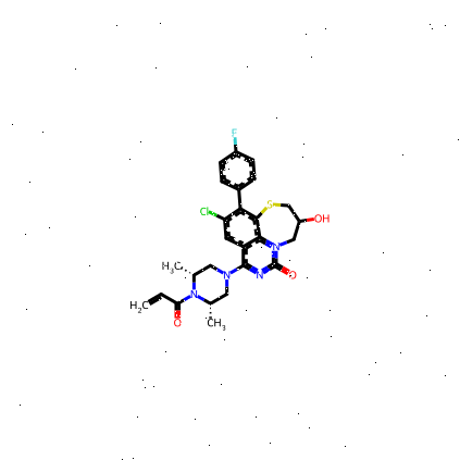 C=CC(=O)N1[C@H](C)CN(c2nc(=O)n3c4c(c(-c5ccc(F)cc5)c(Cl)cc24)SCC(O)C3)C[C@@H]1C